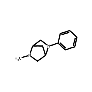 CN1CC2CC1CN2c1ccccc1